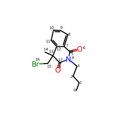 CCCCN1C(=O)c2ccccc2C(C)(CBr)C1=O